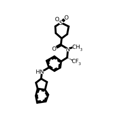 CN(C(=O)C1CCS(=O)(=O)CC1)[C@@H](c1ccc(NC2Cc3ccccc3C2)cc1)C(F)(F)F